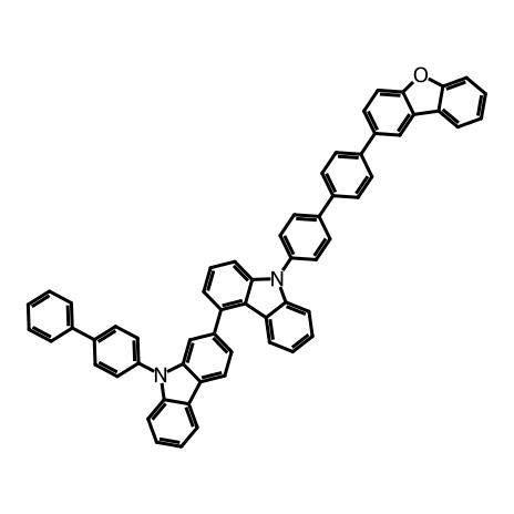 c1ccc(-c2ccc(-n3c4ccccc4c4ccc(-c5cccc6c5c5ccccc5n6-c5ccc(-c6ccc(-c7ccc8oc9ccccc9c8c7)cc6)cc5)cc43)cc2)cc1